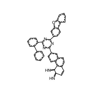 N=C1C=Cc2ccc3cc(-c4nc(-c5ccc6c(c5)oc5ccccc56)nc(-c5ccccc5-c5ccccc5)n4)ccc3c2C1=N